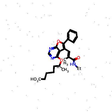 CCNC(=O)C(C)=Cc1c(-c2ccccc2)oc2ncnc(O[C@H](C)CCCCC(=O)O)c12